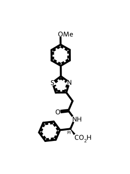 COc1ccc(-c2nc(CC(=O)N[C@@H](C(=O)O)c3ccccc3)cs2)cc1